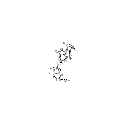 COc1ccc([C@H](C)NC(=O)COc2cc(C(F)F)c3c(-c4cc(C)oc4C)nn(C)c3n2)cc1